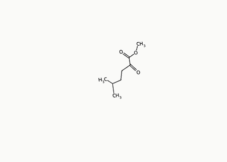 COC(=O)C(=O)CCC(C)C